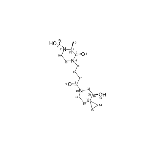 C[C@H]1C(=O)N(CCCC(=O)N2CCC3(CC3)[C@H](O)C2)CCN1C(=O)O